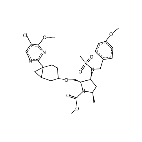 COC(=O)N1[C@H](C)C[C@H](N(Cc2ccc(OC)cc2)S(C)(=O)=O)[C@@H]1COC1CCC2(c3ncc(Cl)c(OC)n3)CC2C1